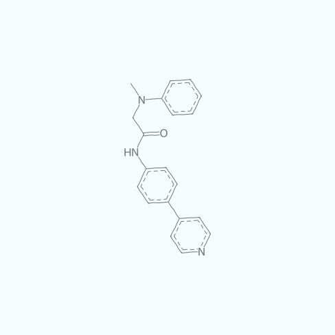 CN(CC(=O)Nc1ccc(-c2ccncc2)cc1)c1ccccc1